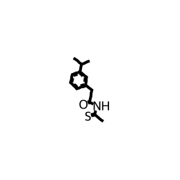 CC(=S)NC(=O)Cc1cccc(C(C)C)c1